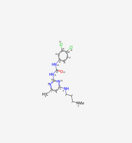 CNCCCNc1cc(C)nc(NC(=O)Nc2ccc(Cl)c(Cl)c2)n1